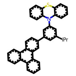 CC(C)c1cc(-c2ccc3c4ccccc4c4ccccc4c3c2)cc(N2c3ccccc3Sc3ccccc32)c1